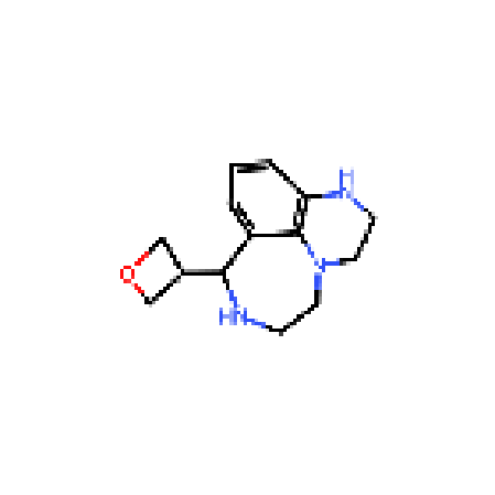 c1cc2c3c(c1)C(C1COC1)NCCN3CCN2